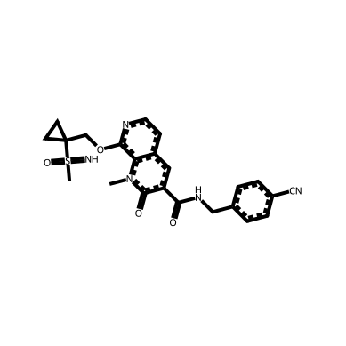 Cn1c(=O)c(C(=O)NCc2ccc(C#N)cc2)cc2ccnc(OCC3(S(C)(=N)=O)CC3)c21